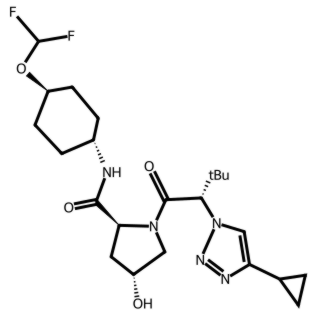 CC(C)(C)[C@@H](C(=O)N1C[C@H](O)C[C@H]1C(=O)N[C@H]1CC[C@H](OC(F)F)CC1)n1cc(C2CC2)nn1